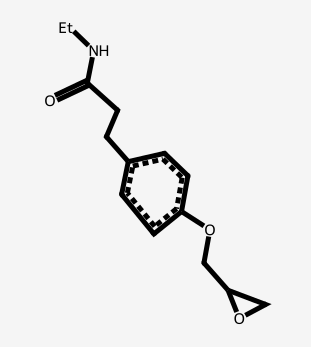 [CH2]CNC(=O)CCc1ccc(OCC2CO2)cc1